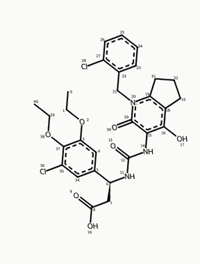 CCOc1cc([C@H](CC(=O)O)NC(=O)Nc2c(O)c3c(n(Cc4ccccc4Cl)c2=O)CCC3)cc(Cl)c1OCC